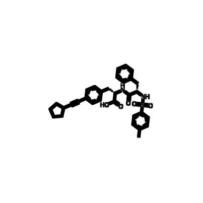 Cc1ccc(S(=O)(=O)N[C@@H](Cc2ccccc2)C(=O)N[C@@H](Cc2ccc(C#CC3CCCC3)cc2)C(=O)O)cc1